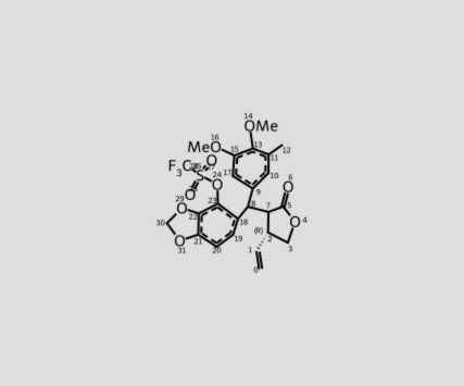 C=C[C@H]1COC(=O)C1C(c1cc(C)c(OC)c(OC)c1)c1ccc2c(c1OS(=O)(=O)C(F)(F)F)OCO2